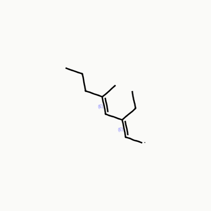 [CH2]/C=C(/C=C(\C)CCC)CC